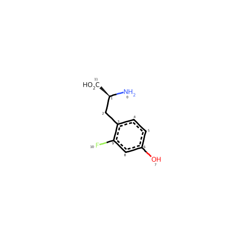 N[C@@H](Cc1ccc(O)cc1F)C(=O)O